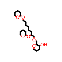 OC1CCCOC1COCC(CCCCCCOC1CCCCO1)OC1CCCCO1